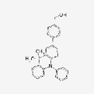 CC1(C)c2ccccc2N(c2ccccc2)c2ccc(-c3ccc(CO)cc3)cc21